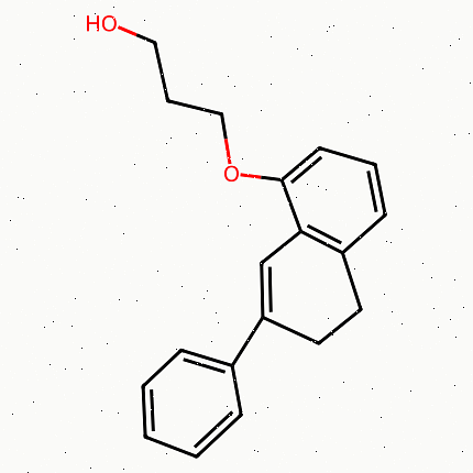 OCCCOc1cccc2c1C=C(c1ccccc1)CC2